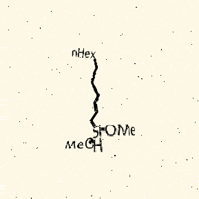 CCCCCCCCCCCC[SiH](OC)OC